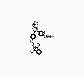 CCOc1nc(-c2ccc(OCCN3C(=O)c4ccccc4C3=O)cc2)n(-c2ccc(OC)nc2)n1